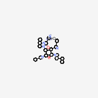 C=N/C=C\C(=C/C)c1ccc(N(c2cccc3cc4ccccc4cc23)c2ccc3c4cc(N5C=CC(c6ccccc6)=CC5)cc5oc6cc(N7C=CC=C8C(c9cccc%10ccccc9%10)=CC=CC87)cc(c7cc(-c8cncc(-c9cccc(OC)c9)c8)cc8oc2c3c87)c6c54)nc1